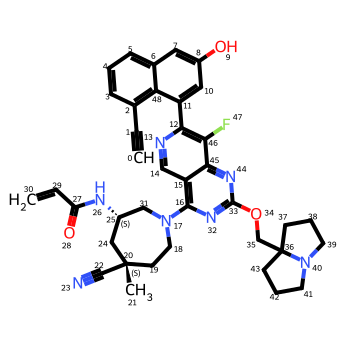 C#Cc1cccc2cc(O)cc(-c3ncc4c(N5CC[C@](C)(C#N)C[C@H](NC(=O)C=C)C5)nc(OCC56CCCN5CCC6)nc4c3F)c12